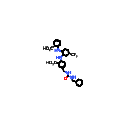 O=C(NCc1ccccc1)NCc1ccc(Nc2cc(C(F)(F)F)ccc2Nc2ccccc2C(=O)O)c(C(=O)O)c1